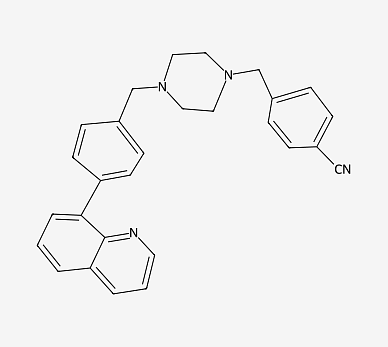 N#Cc1ccc(CN2CCN(Cc3ccc(-c4cccc5cccnc45)cc3)CC2)cc1